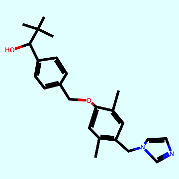 Cc1cc(OCc2ccc(C(O)C(C)(C)C)cc2)c(C)cc1Cn1ccnc1